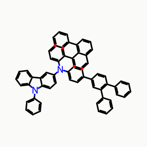 c1ccc(-c2ccc(-c3ccc(N(c4ccc5c(c4)c4ccccc4n5-c4ccccc4)c4ccccc4-c4cccc5cccc(-c6ccccc6)c45)cc3)cc2-c2ccccc2)cc1